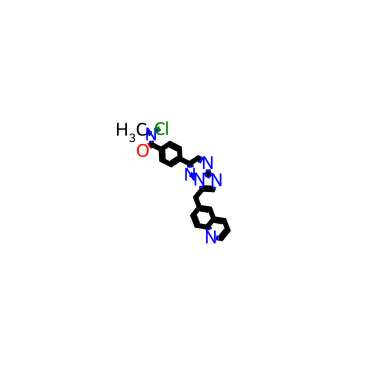 CN(Cl)C(=O)c1ccc(-c2cnc3ncc(Cc4ccc5ncccc5c4)n3n2)cc1